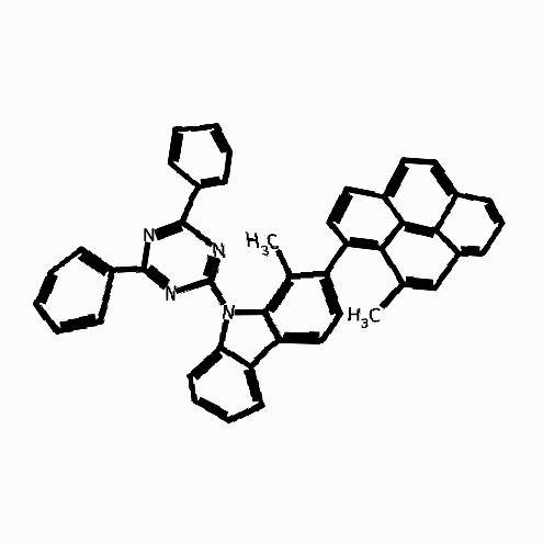 Cc1cc2cccc3ccc4ccc(-c5ccc6c7ccccc7n(-c7nc(-c8ccccc8)nc(-c8ccccc8)n7)c6c5C)c1c4c32